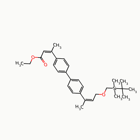 CCOC(=O)/C=C(/C)c1ccc(-c2ccc(/C(C)=C\COC[Si](C)(C)C(C)(C)C)cc2)cc1